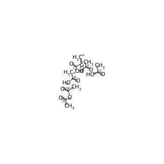 C=CC(=O)O.CC(=O)O.CC(=O)O.CC(=O)O.CC(=O)OC(C)=O